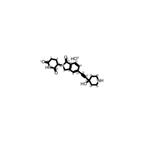 Cl.O=C1CCC(N2Cc3cc(C#CC4(O)CCNCC4)ccc3C2=O)C(=O)N1